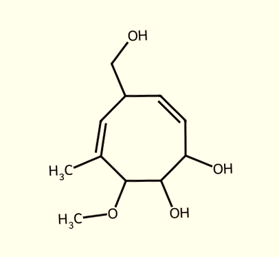 COC1C(C)=CC(CO)/C=C\C(O)C1O